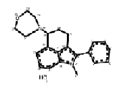 Cl.Cn1c(-c2ccccc2)c2c3c(cccc31)C(N1CCOCC1)CC2